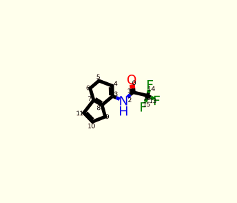 O=C(NC1=CCCC2=C1CC=C2)C(F)(F)F